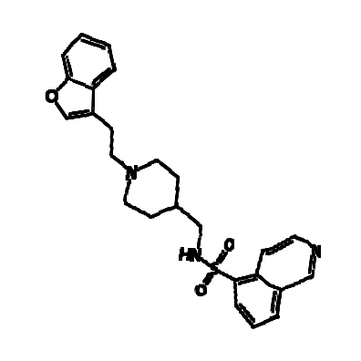 O=S(=O)(NCC1CCN(CCc2coc3ccccc23)CC1)c1cccc2cnccc12